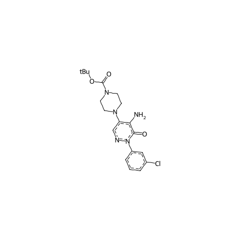 CC(C)(C)OC(=O)N1CCN(c2cnn(-c3cccc(Cl)c3)c(=O)c2N)CC1